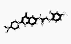 Cc1cc(N2CCC(N(C)C)CC2)nc2ccc(NC(=O)COc3ccc(C(F)(F)F)cc3F)cc12